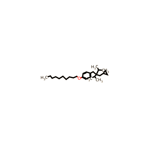 CCCCCCCCCCOc1ccc(CC(CC2CC2)(C(C)C)C(C)C)cc1